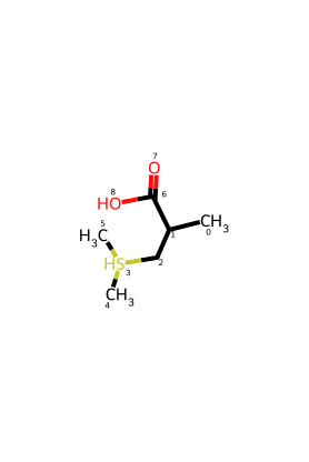 CC(C[SH](C)C)C(=O)O